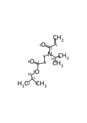 C=CC(=O)N(CCC(=O)OCC(C)C)C(C)C